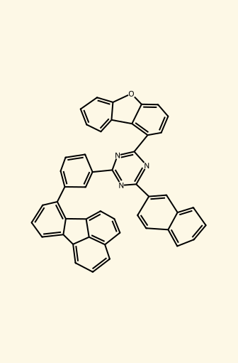 c1cc(-c2nc(-c3ccc4ccccc4c3)nc(-c3cccc4oc5ccccc5c34)n2)cc(-c2cccc3c2-c2cccc4cccc-3c24)c1